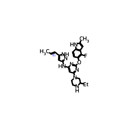 C/C=C/c1cc(Nc2cc(N3CCNC(CC)C3)nc(Oc3ccc4[nH]c(C)cc4c3F)n2)n[nH]1